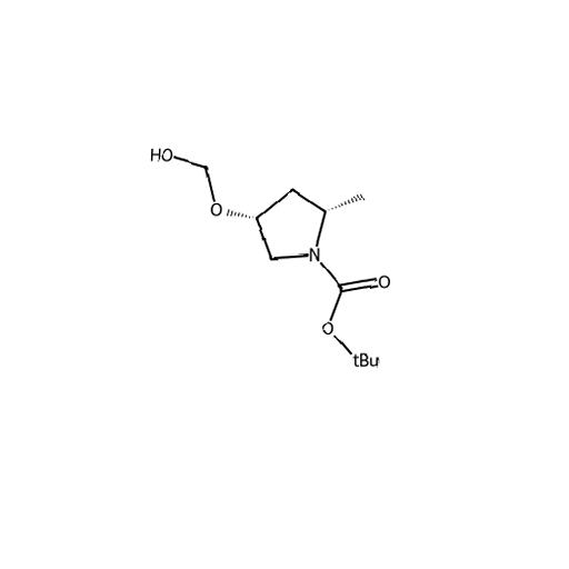 C[C@H]1C[C@@H](OCO)CN1C(=O)OC(C)(C)C